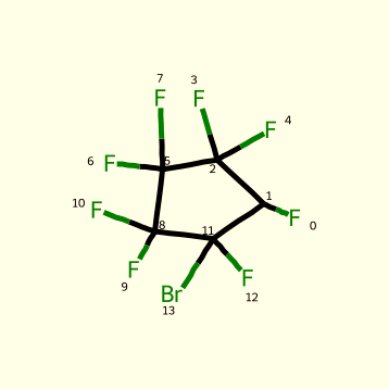 FC1C(F)(F)C(F)(F)C(F)(F)C1(F)Br